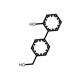 OCc1ccc(-c2[c]cccc2O)cc1